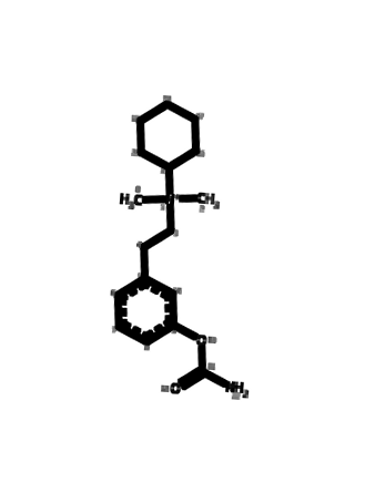 C[N+](C)(CCc1cccc(OC(N)=O)c1)C1CCCCC1